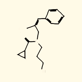 CCCCN(C/C(C)=C\c1ccccc1)C(=O)C1CC1